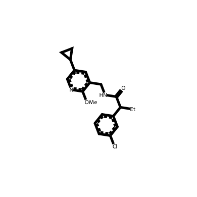 CCC(C(=O)NCc1cc(C2CC2)cnc1OC)c1cccc(Cl)c1